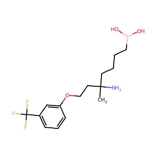 CC(N)(CCCCB(O)O)CCOc1cccc(C(F)(F)F)c1